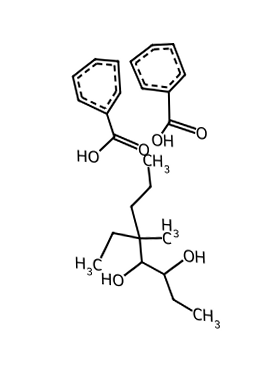 CCCC(C)(CC)C(O)C(O)CC.O=C(O)c1ccccc1.O=C(O)c1ccccc1